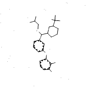 OC(CNC(c1cccc(Oc2cccc(Cl)c2Cl)c1)C1CCCC(C(F)(F)C(F)(F)F)C1)C(F)(F)F